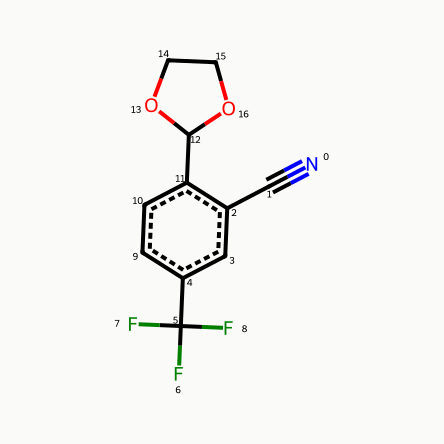 N#Cc1cc(C(F)(F)F)ccc1C1OCCO1